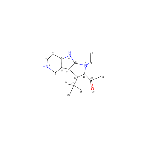 CCN1C2NC3CCNCC3C2C(C(C)(C)C)C1C(C)=O